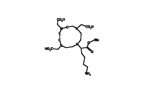 CC(C)(C)OC(=O)C(CCCCN)N1CCN(CC(=O)O)CCN(CC(=O)O)CCN(CC(=O)O)CC1